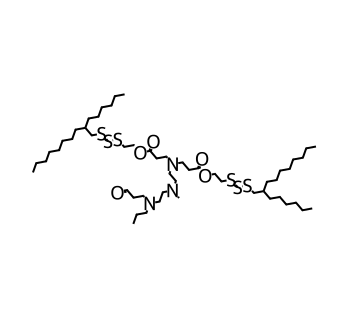 CCCCCCCCC(CCCCCC)CSSSCCOC(=O)CCN(CCC(=O)OCCSSSCC(CCCCCC)CCCCCCCC)CCN(C)CCN(CCC)CCC=O